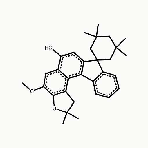 COc1cc2c(O)cc3c(c2c2c1OC(C)(C)C2)-c1ccccc1C31CC(C)(C)CC(C)(C)C1